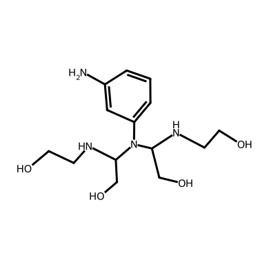 Nc1cccc(N(C(CO)NCCO)C(CO)NCCO)c1